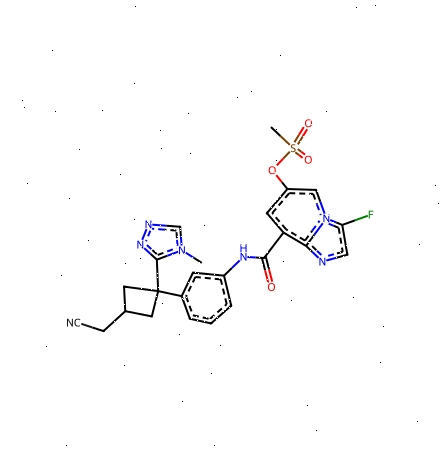 Cn1cnnc1C1(c2cccc(NC(=O)c3cc(OS(C)(=O)=O)cn4c(F)cnc34)c2)CC(CC#N)C1